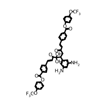 Nc1cc(N)cc(C(CC(=O)C=Cc2ccc(C(=O)Oc3ccc(OC(F)(F)F)cc3)cc2)C(O)(O)C(=O)C=Cc2ccc(C(=O)Oc3ccc(OC(F)(F)F)cc3)cc2)c1